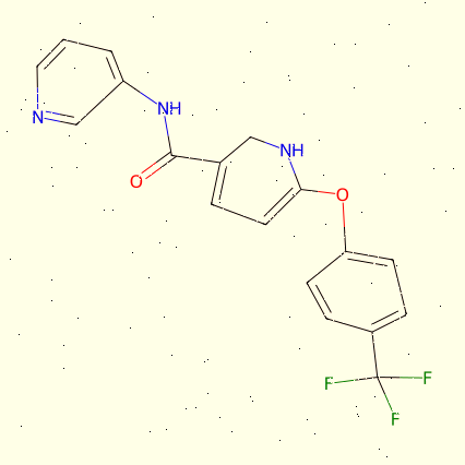 O=C(Nc1cccnc1)C1=CC=C(Oc2ccc(C(F)(F)F)cc2)NC1